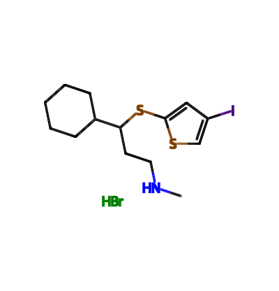 Br.CNCCC(Sc1cc(I)cs1)C1CCCCC1